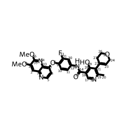 COc1cc2nccc(Oc3ccc(NC(=O)c4cnc(C)c(C5=CCOCC5)c4O)cc3F)c2nc1OC